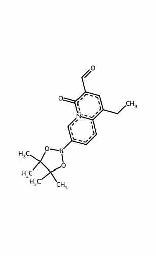 CCc1cc(C=O)c(=O)n2cc(B3OC(C)(C)C(C)(C)O3)ccc12